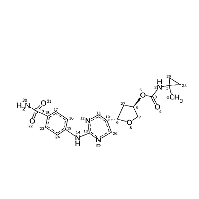 CC1(NC(=O)O[C@H]2CO[C@H](c3cnc(Nc4ccc(S(N)(=O)=O)cc4)nc3)C2)CC1